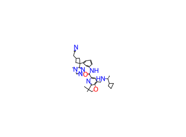 C[C@H](NCc1cc(C(=O)Nc2cccc(C3(c4nncn4C)CC(CC#N)C3)c2)nc2c1OCC2(C)C)C1CCC1